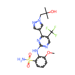 COc1cccc(S(N)(=O)=O)c1Nc1ncc(C(F)(F)F)c(-c2cnn(CC(C)(C)O)c2)n1